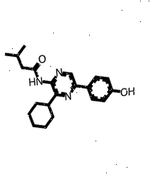 CC(C)CC(=O)Nc1ncc(-c2ccc(O)cc2)nc1C1CCCCC1